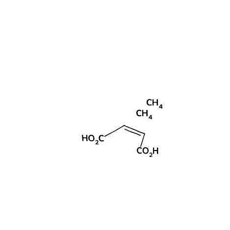 C.C.O=C(O)/C=C\C(=O)O